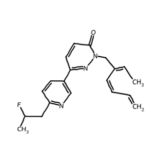 C=C/C=C\C(=C/C)Cn1nc(-c2ccc(CC(C)F)nc2)ccc1=O